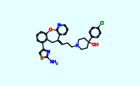 Nc1nc(-c2cccc3c2C/C(=C/CCN2CCC(O)(c4ccc(Cl)cc4)CC2)c2cccnc2O3)cs1